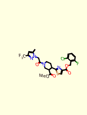 COC(=O)C1CN(C(=O)Cn2nc(C(F)(F)F)cc2C)CCC1c1nc(C(=O)OCc2c(F)cccc2Cl)cs1